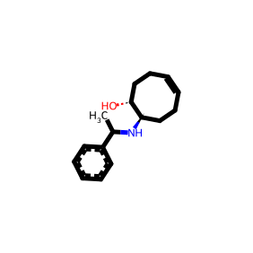 CC(N[C@@H]1CC/C=C\CC[C@H]1O)c1ccccc1